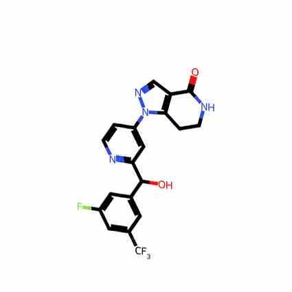 O=C1NCCc2c1cnn2-c1ccnc(C(O)c2cc(F)cc(C(F)(F)F)c2)c1